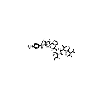 CC[C@H](C)[C@@H]([C@@H](CC(=O)N1CCC[C@H]1[C@H](OC)[C@@H](C)C(=O)NS(=O)(=O)c1ccc(N)cc1)OC)N(C)C(=O)[C@@H](NC(=O)C(C(C)C)N(C)C)C(C)C